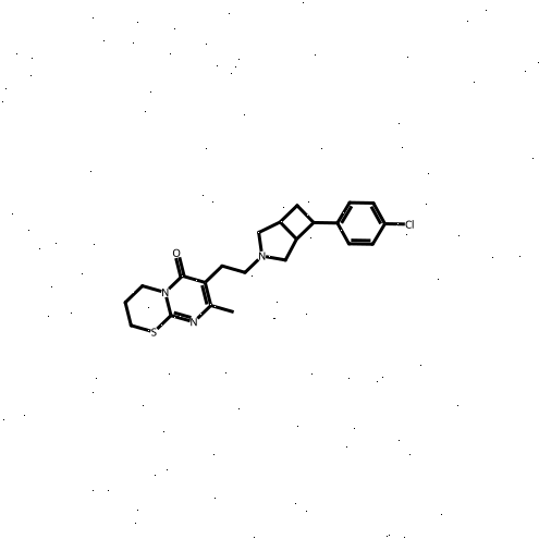 Cc1nc2n(c(=O)c1CCN1CC3CC(c4ccc(Cl)cc4)C3C1)CCCS2